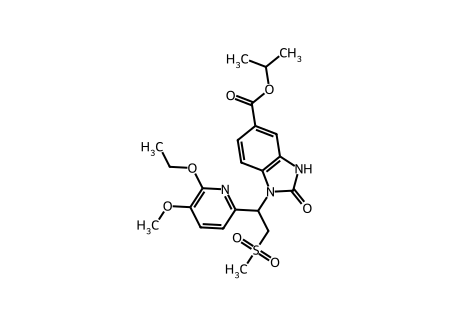 CCOc1nc(C(CS(C)(=O)=O)n2c(=O)[nH]c3cc(C(=O)OC(C)C)ccc32)ccc1OC